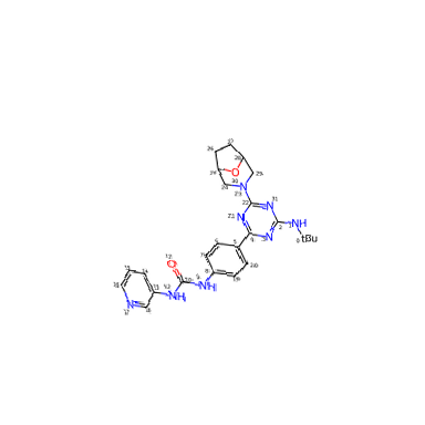 CC(C)(C)Nc1nc(-c2ccc(NC(=O)Nc3cccnc3)cc2)nc(N2CC3CCC(C2)O3)n1